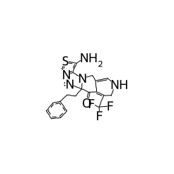 [N]C1(CCc2ccccc2)C(=O)C2=C(C(F)(F)F)CNC=C2CN1c1ncsc1N